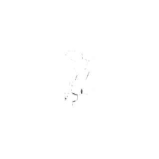 CCC(NC1CCCCCC1)C(CO)CNc1ncc(Br)cc1C(=O)OC